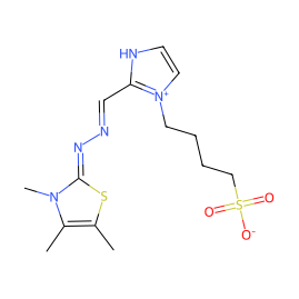 Cc1sc(=NN=Cc2[nH]cc[n+]2CCCCS(=O)(=O)[O-])n(C)c1C